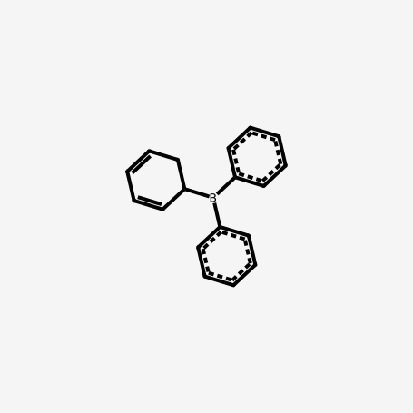 C1=CCC(B(c2ccccc2)c2ccccc2)C=C1